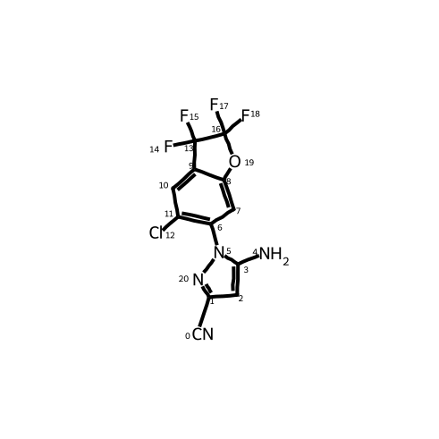 N#Cc1cc(N)n(-c2cc3c(cc2Cl)C(F)(F)C(F)(F)O3)n1